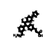 CC/C(=C(/c1ccc(/C=C/C(=O)O)cc1)c1cccc(/C=N\N)c1)c1ccc(-c2nccs2)cc1